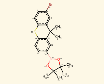 CC1(C)c2cc(Br)ccc2Sc2ccc(B3OC(C)(C)C(C)(C)O3)cc21